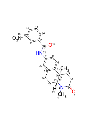 CN1C(=O)CC[C@]2(C)c3ccc(NC(=O)c4cccc([N+](=O)[O-])c4)cc3CC[C@@H]12